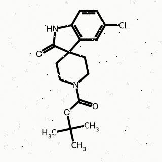 CC(C)(C)OC(=O)N1CCC2(CC1)C(=O)Nc1ccc(Cl)cc12